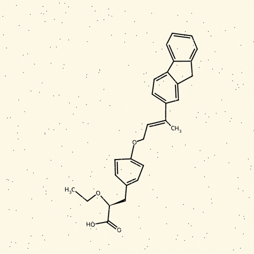 CCO[C@@H](Cc1ccc(OC/C=C(\C)c2ccc3c(c2)Cc2ccccc2-3)cc1)C(=O)O